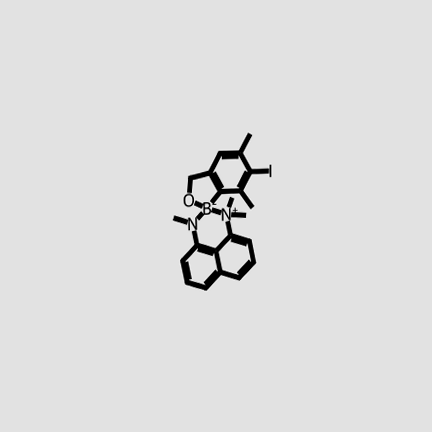 Cc1cc2c(c(C)c1I)[B-]1(OC2)N(C)c2cccc3cccc(c23)[N+]1(C)C